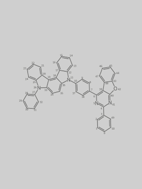 c1ccc(-c2nc(-c3ccc(-n4c5ccccc5c5c6c7ccccc7n(-c7ccccc7)c6ccc54)cc3)c3c(n2)oc2ccccc23)cc1